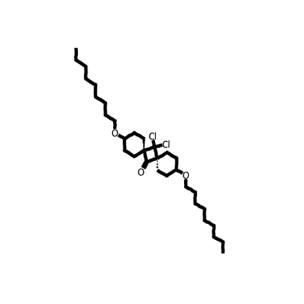 CCCCCCCCCOC1CC[C@]2(CC1)C(=O)[C@@]1(CCC(OCCCCCCCCC)CC1)C2(Cl)Cl